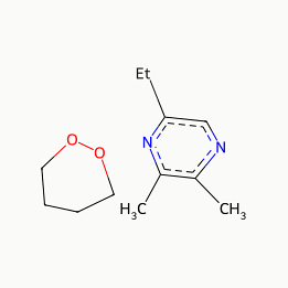 C1CCOOC1.CCc1cnc(C)c(C)n1